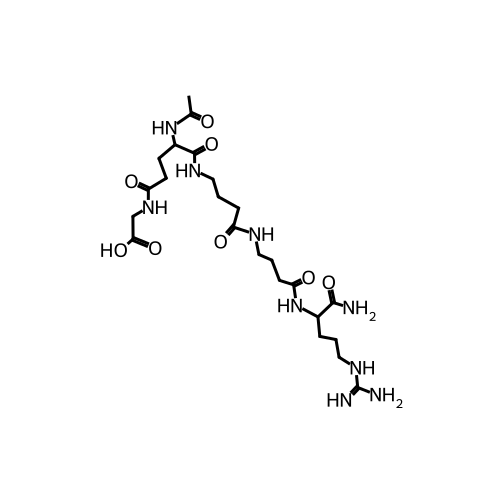 CC(=O)NC(CCC(=O)NCC(=O)O)C(=O)NCCCC(=O)NCCCC(=O)NC(CCCNC(=N)N)C(N)=O